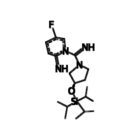 CC(C)[Si](O[C@@H]1CCN(C(=N)n2cc(F)ccc2=N)C1)(C(C)C)C(C)C